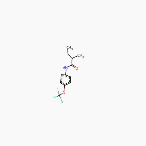 CCC(C)C(=O)Nc1ccc(OC(F)(F)F)cc1